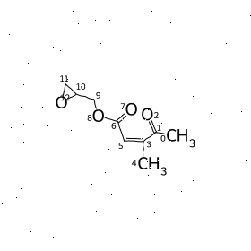 CC(=O)C(C)=CC(=O)OCC1CO1